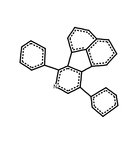 c1ccc(-c2cnc(-c3ccccc3)c3c2-c2cccc4cccc-3c24)cc1